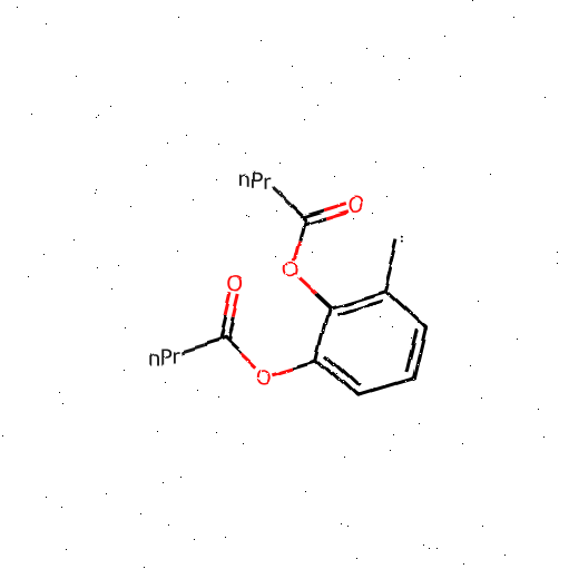 [CH]c1cccc(OC(=O)CCC)c1OC(=O)CCC